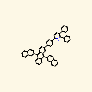 c1ccc(-c2ccc(-c3ccc(-c4ccc5c(-c6ccc7ccccc7c6)c6ccccc6c(-c6ccc7ccccc7c6)c5c4)cc3)nc2-c2ccccc2)cc1